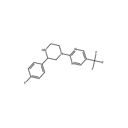 Fc1ccc(C2CN(c3ncc(C(F)(F)F)cn3)CCN2)cc1